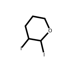 IC1CCCOC1I